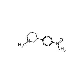 CN1CC[CH]C(c2ccc([N+](N)=O)cc2)C1